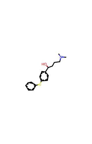 CN(C)CCCC(O)c1ccc(Sc2ccccc2)cc1